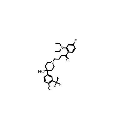 CCN(CC)c1cc(F)ccc1C(=O)CCCN1CCC(O)(c2ccc(Cl)c(C(F)(F)F)c2)CC1